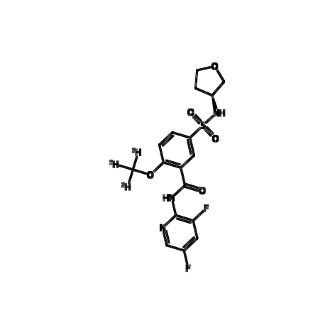 [2H]C([2H])([2H])Oc1ccc(S(=O)(=O)N[C@H]2CCOC2)cc1C(=O)Nc1ncc(F)cc1F